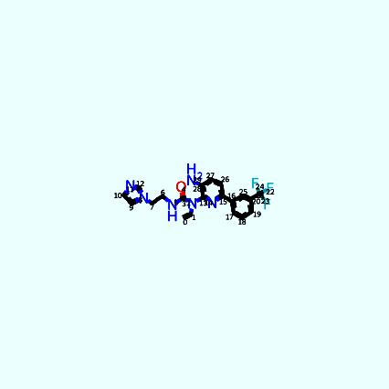 C=CN(C(=O)NCCn1ccnc1)c1nc(-c2cccc(C(F)(F)F)c2)ccc1N